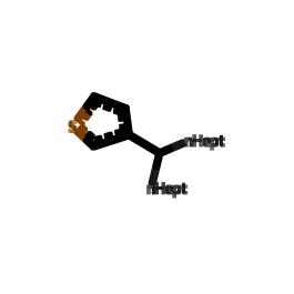 CCCCCCCC(CCCCCCC)c1ccsc1